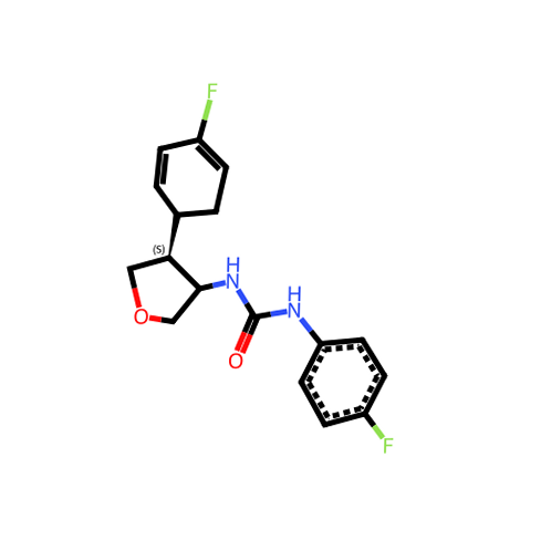 O=C(Nc1ccc(F)cc1)NC1COC[C@H]1C1C=CC(F)=CC1